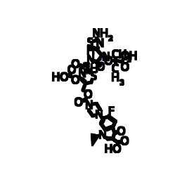 CC(C)(O/N=C(\C(=O)N[C@@H]1C(=O)N2C(OC(=O)O)=C(COC(=O)N3CCN(c4cc5c(cc4F)c(=O)c(C(=O)O)cn5C4CC4)CC3)CS[C@H]12)c1csc(N)n1)C(=O)O